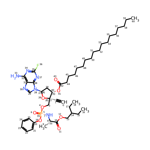 C#C[C@]1(CO[P@@](=O)(N[C@@H](C)C(=O)OCC(CC)CC)Oc2ccccc2)O[C@@H](n2cnc3c(N)nc(F)nc32)C[C@@H]1OC(=O)CCCCCCCCCCCCCCCCC